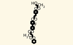 C=C(CO)C(=O)Oc1ccc(/C=C/C(=O)Oc2ccc(-c3ccc(OC(=O)C(=C)CC(=O)OC4CCCCC4)cc3)c(F)c2)cc1